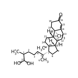 CC(CCCC(C)[C@H]1CC[C@H]2[C@@H]3CCC4=CC(=O)CC[C@]4(C)[C@H]3CC[C@]12C)C(O)O